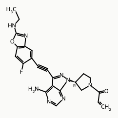 C=CC(=O)N1CC[C@H](n2nc(C#Cc3cc4nc(NCC)oc4cc3F)c3c(N)ncnc32)C1